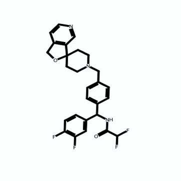 O=C(NC(c1ccc(CN2CCC3(CC2)OCc2ccncc23)cc1)c1ccc(F)c(F)c1)C(F)F